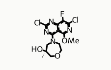 COc1nc(Cl)c(F)c2nc(Cl)nc(N3CCOC[C@@](C)(O)C3)c12